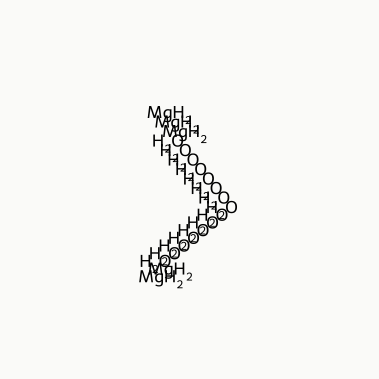 O.O.O.O.O.O.O.O.O.O.O.O.O.O.O.[MgH2].[MgH2].[MgH2].[MgH2].[MgH2]